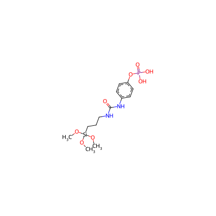 CO[Si](CCCNC(=O)Nc1ccc(OP(=O)(O)O)cc1)(OC)OC